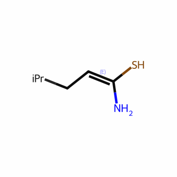 CC(C)C/C=C(\N)S